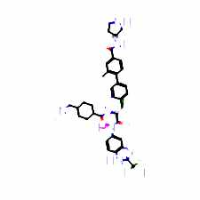 Cc1cc(C(=O)N[C@@H]2CCNC2)ccc1-c1ccc(C[C@H](NC(=O)C2CCC(CN)CC2)C(=O)Nc2ccc3[nH]c(C(F)(F)C(F)(F)F)nc3c2)cc1.Cl